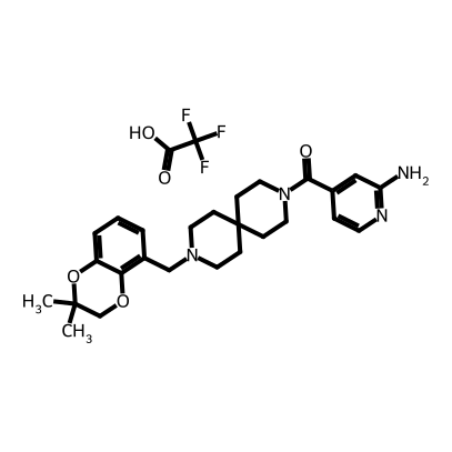 CC1(C)COc2c(CN3CCC4(CC3)CCN(C(=O)c3ccnc(N)c3)CC4)cccc2O1.O=C(O)C(F)(F)F